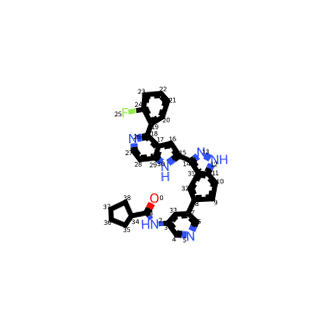 O=C(Nc1cncc(-c2ccc3[nH]nc(-c4cc5c(-c6ccccc6F)nccc5[nH]4)c3c2)c1)C1CCCC1